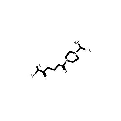 CC(C)C(=O)CCCC(=O)N1CCN(C(C)C)CC1